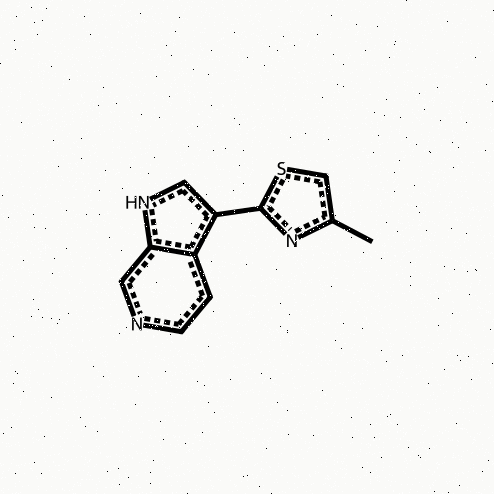 Cc1csc(-c2c[nH]c3cnccc23)n1